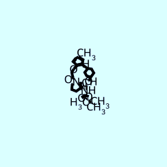 Cc1ccc2c(c1)[C@H]1CC[C@H](CC1)OC[C@H]1[C@@H](NC(=O)OC(C)(C)C)CCCN1C(=O)CO2